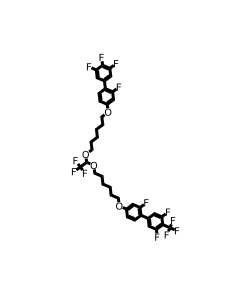 Fc1cc(OCCCCCCOC(OCCCCCCOc2ccc(-c3cc(F)c(C(F)(F)F)c(F)c3)c(F)c2)C(F)(F)F)ccc1-c1cc(F)c(F)c(F)c1